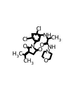 CC(C)=C1CC(=O)N(c2cc(NC(C)C(=O)NN3CCOCC3)c(Cl)cc2Cl)C1=O